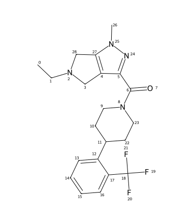 CCN1Cc2c(C(=O)N3CCC(c4ccccc4C(F)(F)F)CC3)nn(C)c2C1